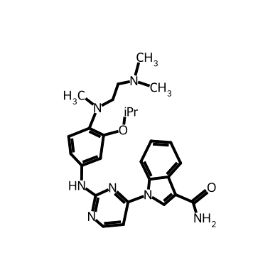 CC(C)Oc1cc(Nc2nccc(-n3cc(C(N)=O)c4ccccc43)n2)ccc1N(C)CCN(C)C